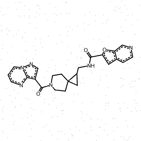 O=C(NCC1CC12CCN(C(=O)c1cnn3cccnc13)CC2)c1cc2ccncc2o1